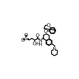 O=C(N[C@@H]1CCCc2cc(CN3CCCCC3)ccc21)C(O)CC=S(=O)=O.c1cc2c3cc1C(CO3)O2